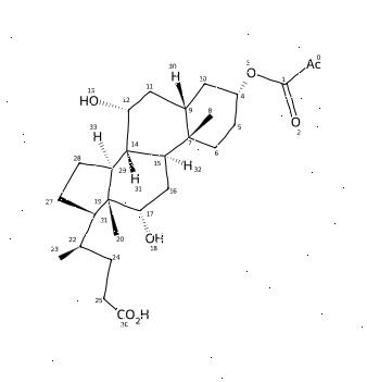 CC(=O)C(=O)O[C@@H]1CC[C@@]2(C)[C@@H](C1)C[C@@H](O)[C@@H]1[C@@H]2C[C@H](O)[C@]2(C)[C@@H]([C@H](C)CCC(=O)O)CC[C@@H]12